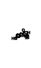 O=C(O)[C@H](Cc1ccc(O)cc1)Nn1ncnn1